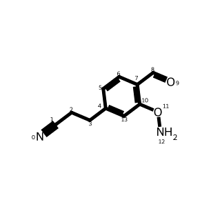 N#CCCc1ccc(C=O)c(ON)c1